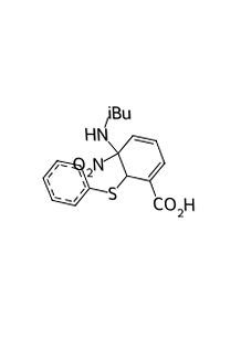 CCC(C)NC1([N+](=O)[O-])C=CC=C(C(=O)O)C1Sc1ccccc1